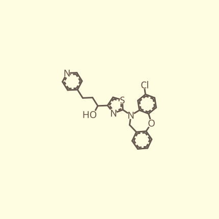 OC(CCc1ccncc1)c1csc(N2Cc3ccccc3Oc3ccc(Cl)cc32)n1